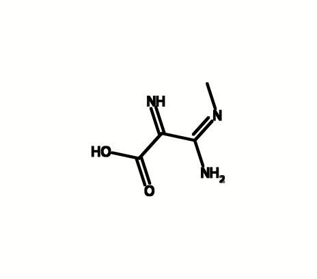 C/N=C(/N)C(=N)C(=O)O